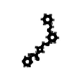 O=C(Nc1cccnc1)N1CC(COc2cccc(OCc3ccccc3)c2)C1